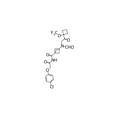 O=CN(CC(=O)C1(OC(F)(F)F)CCC1)C12CC(C(=O)NC(=O)COc3ccc(Cl)cc3)(C1)C2